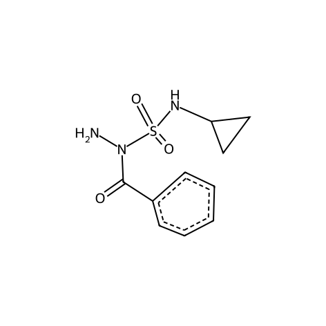 NN(C(=O)c1ccccc1)S(=O)(=O)NC1CC1